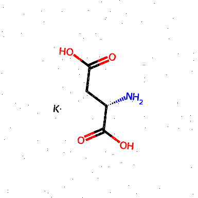 N[C@@H](CC(=O)O)C(=O)O.[K]